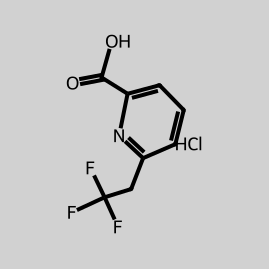 Cl.O=C(O)c1cccc(CC(F)(F)F)n1